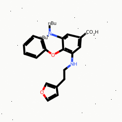 CCCCN(CCCC)c1cc(C(=O)O)cc(NCCc2ccoc2)c1Oc1ccccc1